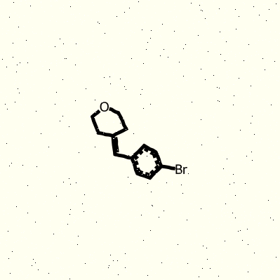 Brc1ccc(C=C2CCOCC2)cc1